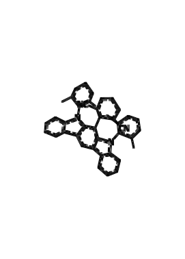 Cc1cccc(C)c1-n1c2ccccc2c2cc3c4ccccc4n(-c4c(C)cccc4C)c3c(-c3c(C#N)cccc3C#N)c21